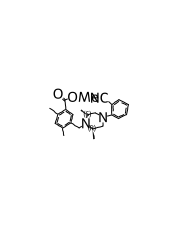 COC(=O)c1cc(CN2[C@H](C)CN(c3ccccc3C#N)C[C@@H]2C)c(C)cc1C